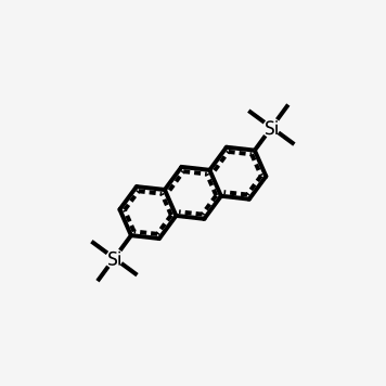 C[Si](C)(C)c1ccc2cc3cc([Si](C)(C)C)ccc3cc2c1